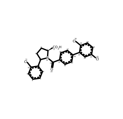 O=C(O)[C@@H]1CCC(c2ccccc2Cl)N1C(=O)c1ccc(-c2cc(Cl)ccc2Cl)cc1